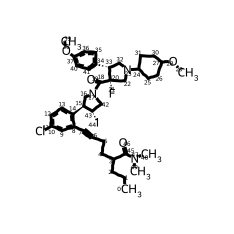 CCCC(CCC#Cc1cc(Cl)ccc1[C@H]1CN(C(=O)[C@]2(F)CN(C3CCC(OC)CC3)C[C@H]2c2ccc(OC)cc2)C[C@@H]1I)C(=O)N(C)C